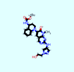 Cn1c(=O)c(N2CCC(NC(=O)OC(C)(C)C)c3ccccc32)cc2cnc(Nc3cnn(CCO)c3)nc21